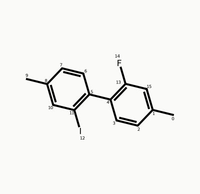 Cc1ccc(-c2ccc(C)cc2I)c(F)c1